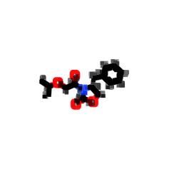 CC(C)OCC(=O)N1C(=O)OC[C@H]1Cc1ccccc1